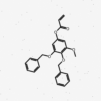 C=CC(=O)Oc1cc(OC)c(OCc2ccccc2)c(OCc2ccccc2)c1